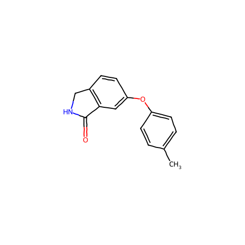 Cc1ccc(Oc2ccc3c(c2)C(=O)NC3)cc1